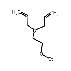 C=CCN(CC=C)CCOCC